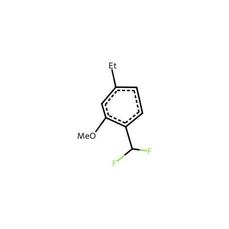 [CH2]Cc1ccc(C(F)F)c(OC)c1